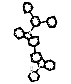 C1=CNC(n2c3ccccc3c3cc(-c4ccc5c(c4)c4ccccc4n5-c4cc(-c5ccccc5)cc(-c5ccccc5)c4)ccc32)C=C1